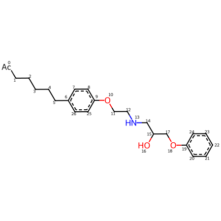 CC(=O)CCCCCc1ccc(OCCNCC(O)COc2ccccc2)cc1